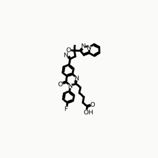 CC1(c2cc3ccccn3n2)CC(c2ccc3c(=O)n(-c4ccc(F)cc4)c(CCCCC(=O)O)nc3c2)=NO1